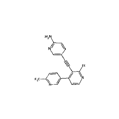 CCc1nccc(-c2ccc(C(F)(F)F)nc2)c1C#Cc1ccc(N)nc1